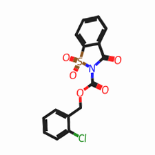 O=C(OCc1ccccc1Cl)N1C(=O)c2ccccc2S1(=O)=O